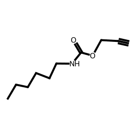 C#CCOC(=O)NCCCCCC